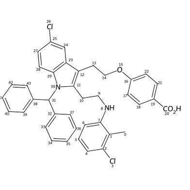 Cc1c(Cl)cccc1NCCc1c(CCOc2ccc(C(=O)O)cc2)c2cc(Cl)ccc2n1C(c1ccccc1)c1ccccc1